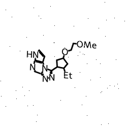 CCC1CC(OCCOC)CC1c1nnc2cnc3[nH]ccc3n12